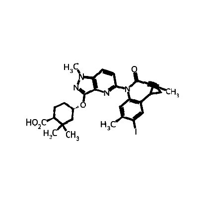 CC#CC(=O)N(c1ccc2c(n1)c(O[C@H]1CC[C@H](C(=O)O)C(C)(C)C1)nn2C)c1cc(C)c(I)cc1C1CC1